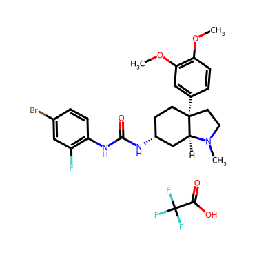 COc1ccc([C@@]23CC[C@@H](NC(=O)Nc4ccc(Br)cc4F)C[C@@H]2N(C)CC3)cc1OC.O=C(O)C(F)(F)F